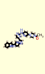 CC(=O)N1CCN(c2ccc(Nc3nccc(-c4cnc5ccc(-c6cc7ccccc7[nH]6)cn45)n3)nc2)CC1